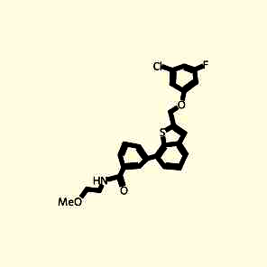 COCCNC(=O)c1cccc(-c2cccc3cc(COc4cc(F)cc(Cl)c4)sc23)c1